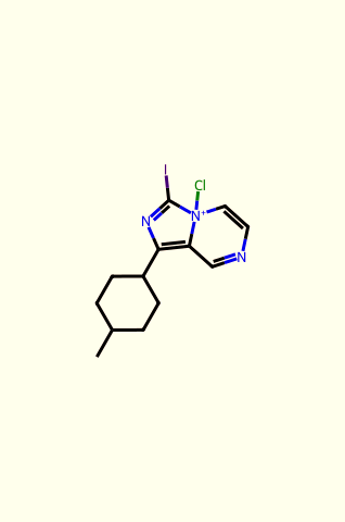 CC1CCC(C2=C3C=NC=C[N+]3(Cl)C(I)=N2)CC1